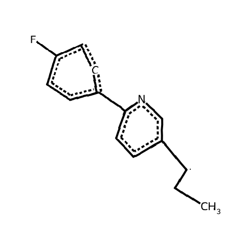 CC[CH]c1ccc(-c2ccc(F)cc2)nc1